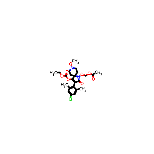 CCOC(=O)OC1=C(c2c(C)cc(Cl)cc2C)C(=O)N(OCOC(C)=O)C12CCN(OC)CC2